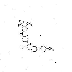 Cc1ccc(N2CCN(C[C@H](C)C(=O)N3CCC(Nc4ccc(C)c(C(F)(F)F)c4)CC3)CC2)cc1